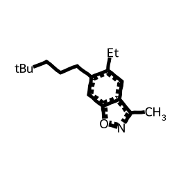 CCc1cc2c(C)noc2cc1CCCC(C)(C)C